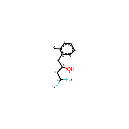 Cc1ccccc1CC(O)CC(F)F